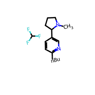 CCCCc1ccc(C2CCCN2C)cn1.FC(F)F